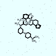 Cc1ccc(Cl)c(S(=O)(=O)N2CCn3cccc3C2COCC(=O)N(C)[C@@H]2CCC[C@H](N3CCC(N(C)C)CC3)C2)c1Cl